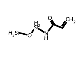 C=CC(=O)N[SiH2]O[SiH3]